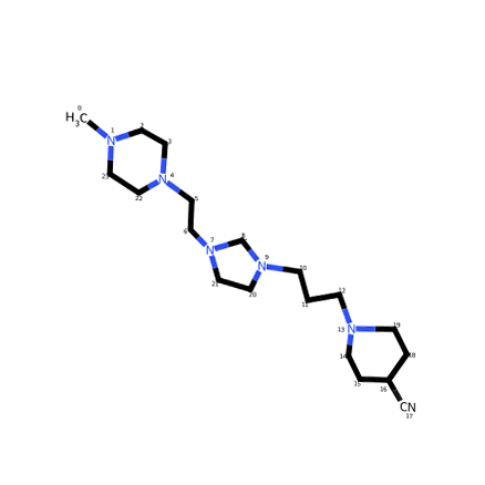 CN1CCN(CCN2[C]N(CCCN3CCC(C#N)CC3)CC2)CC1